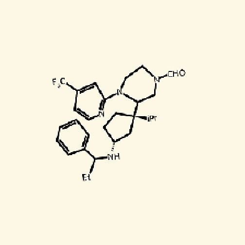 CCC(N[C@@H]1CC[C@](C(C)C)(C2CN(C=O)CCN2c2cc(C(F)(F)F)ccn2)C1)c1ccccc1